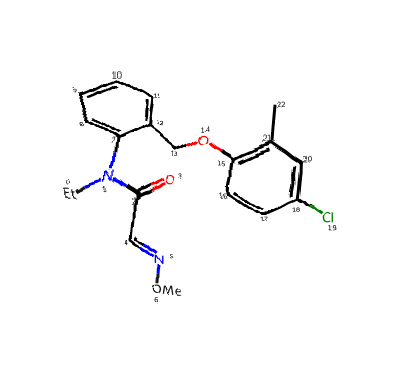 CCN(C(=O)C=NOC)c1ccccc1COc1ccc(Cl)cc1C